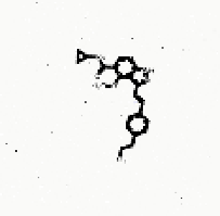 COc1c(C(=O)NC2CC2)ccc2[nH]nc(/C=C/c3ccc(CCO)cc3)c12